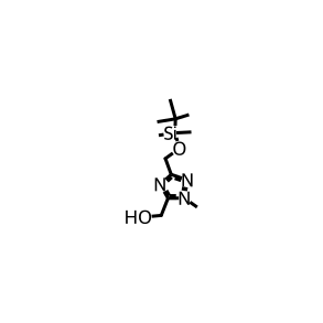 Cn1nc(CO[Si](C)(C)C(C)(C)C)nc1CO